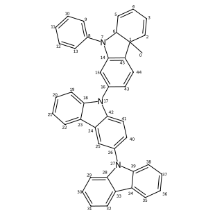 CC12C=CC=CC1N(c1ccccc1)c1cc(-n3c4ccccc4c4cc(-n5c6ccccc6c6ccccc65)ccc43)ccc12